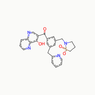 O=C(c1cc(Cc2ccccn2)cc(CN2CCCS2(=O)=O)c1)c1cnc2cccnc2c1O